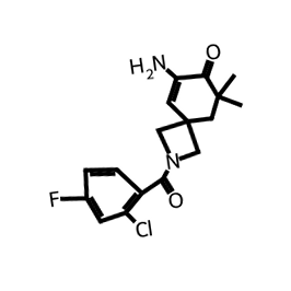 CC1(C)CC2(C=C(N)C1=O)CN(C(=O)c1ccc(F)cc1Cl)C2